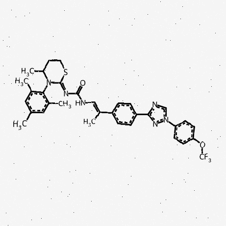 C/C(=C\NC(=O)/N=C1\SCCC(C)N1c1c(C)cc(C)cc1C)c1ccc(-c2ncn(-c3ccc(OC(F)(F)F)cc3)n2)cc1